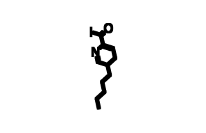 CCCCCC1C=NC(C(=O)I)=CC1